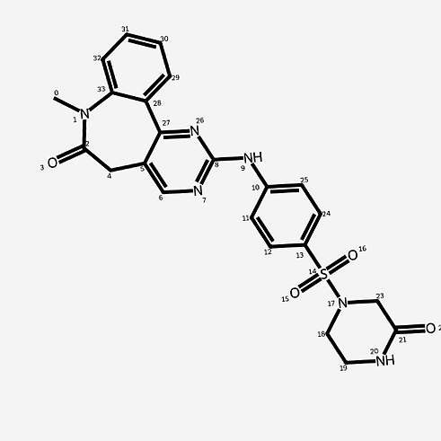 CN1C(=O)Cc2cnc(Nc3ccc(S(=O)(=O)N4CCNC(=O)C4)cc3)nc2-c2ccccc21